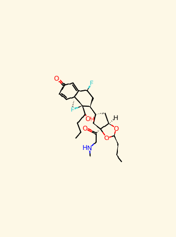 CCCC1O[C@@H]2C[C@@H]([C@@H]3C[C@H](F)C4=CC(=O)C=C[C@]4(C)[C@@]3(F)[C@@H](O)CCC)C[C@]2(C(=O)CNC)O1